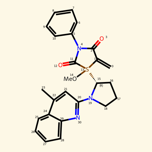 C=C1C(=O)N(c2ccccc2)C(=O)S1(OC)[C@@H]1CCCN1c1cc(C)c2ccccc2n1